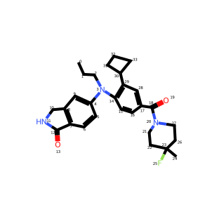 CCCN(c1ccc2c(c1)CNC2=O)c1ccc(C(=O)N2CCC(C)(F)CC2)cc1C1CCC1